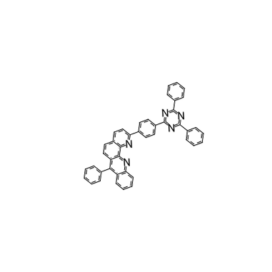 c1ccc(-c2nc(-c3ccccc3)nc(-c3ccc(-c4ccc5ccc6c(-c7ccccc7)c7ccccc7nc6c5n4)cc3)n2)cc1